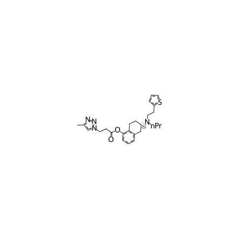 CCCN(CCc1cccs1)[C@H]1CCc2c(cccc2OC(=O)CCn2cc(C)nn2)C1